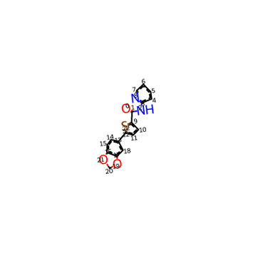 O=C(Nc1ccccn1)c1ccc(-c2ccc3c(c2)OCO3)s1